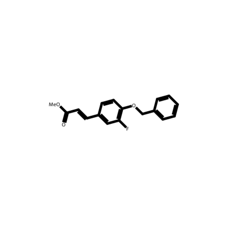 COC(=O)C=Cc1ccc(OCc2ccccc2)c(F)c1